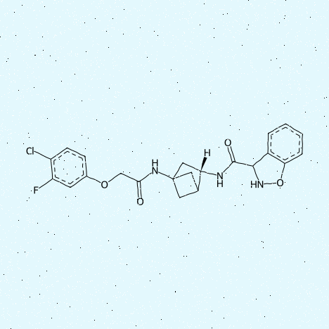 O=C(COc1ccc(Cl)c(F)c1)NC12CC(C1)[C@@H](NC(=O)C1NOc3ccccc31)C2